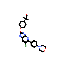 CC(C)(CO)[C@H]1CC[C@H](Oc2nc3nc(-c4ccc(N5CCOCC5)cc4)c(Cl)cc3[nH]2)CC1